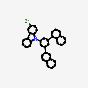 Brc1ccc2c(c1)c1ccccc1n2-c1cc(-c2ccc3ccccc3c2)cc(-c2cccc3ccccc23)c1